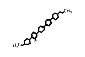 CCCC1CCC(c2ccc(C3=CCC(c4ccc(C5CCC(CC)CC5)c(F)c4)CC3)cc2)CC1